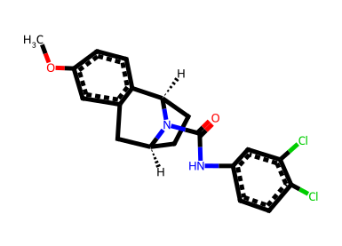 COc1ccc2c(c1)C[C@@H]1CC[C@H]2N1C(=O)Nc1ccc(Cl)c(Cl)c1